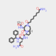 CC(C)(C)OC(=O)N[C@H]1CN(C(=O)CCCCCCCC(N)=O)CC[C@H]2CC[C@@H](C(=O)N[C@@H](CCC(N)=O)C(=O)NC(c3ccccc3)c3ccccc3)N2C1=O